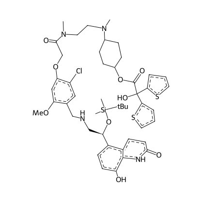 COc1cc(OCC(=O)N(C)CCN(C)C2CCC(OC(=O)C(O)(c3cccs3)c3cccs3)CC2)c(Cl)cc1CNC[C@@H](O[Si](C)(C)C(C)(C)C)c1ccc(O)c2[nH]c(=O)ccc12